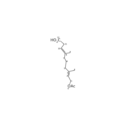 CC(=O)OC/C=C(\C)CCC/C(C)=C/CC(=O)O